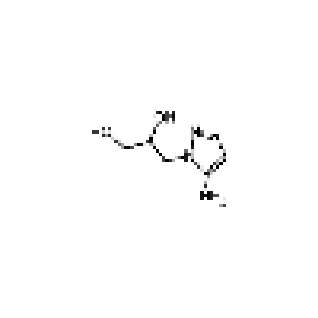 Nc1ccnn1CC(O)CO